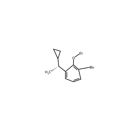 CCOc1c(C(C)CC)cccc1[C@H](C)C1CC1